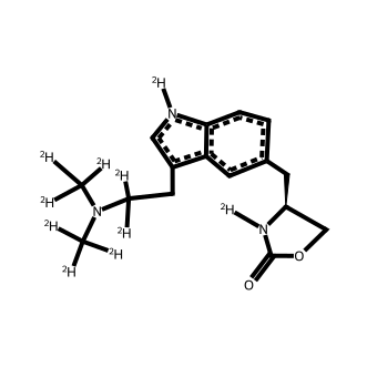 [2H]N1C(=O)OC[C@@H]1Cc1ccc2c(c1)c(CC([2H])([2H])N(C([2H])([2H])[2H])C([2H])([2H])[2H])cn2[2H]